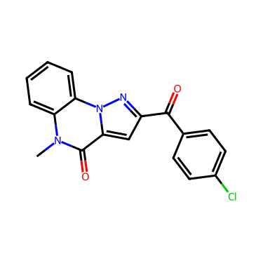 Cn1c(=O)c2cc(C(=O)c3ccc(Cl)cc3)nn2c2ccccc21